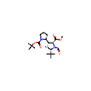 COC(=O)[C@@H]1[C@@H]([C@@H]2CCCN2C(=O)OC(C)(C)C)[Se][C@H](C(C)(C)C)N1C=O